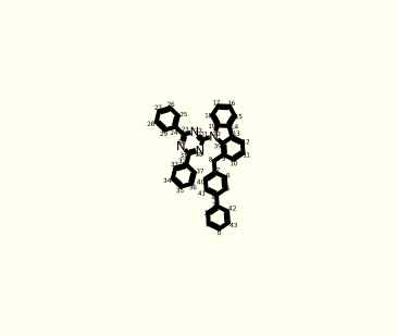 c1ccc(-c2ccc(Cc3cccc4c5ccccc5n(-c5nc(-c6ccccc6)nc(-c6ccccc6)n5)c34)cc2)cc1